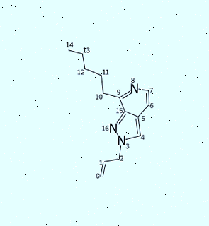 C=CCn1cc2ccnc(CCCCC)c2n1